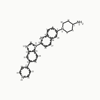 NC1CCN(c2ccc3nc(-n4cnc5cc(-c6ccncc6)ccc54)ccc3c2)CC1